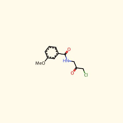 COc1cccc(C(=O)NCC(=O)CCl)c1